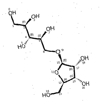 OC[C@@H](O)[C@@H](O)[C@@H](O)CO[C@@H]1O[C@H](CO)[C@@H](O)[C@H]1O